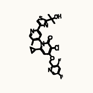 Cc1cnc(-c2csc(C(C)(C)O)n2)cc1-n1c(C2CC2)cc(OCc2ncc(F)cc2F)c(Cl)c1=O